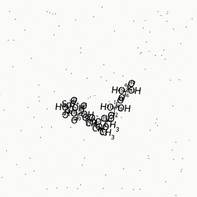 CC(=O)[O-].CC(=O)[O-].CC(=O)[O-].CC(=O)[O-].O=CC(O)C(O)C=O.O=CC(O)C(O)C=O.O=CC(O)C(O)C=O.O=CC(O)C(O)C=O.[Sn+4]